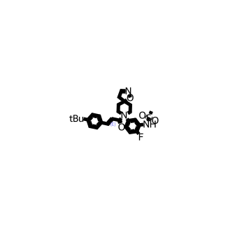 CC(C)(C)c1ccc(/C=C/C(=O)[N+]2(c3ccc(F)c(NS(C)(=O)=O)c3)CCC3(CC=NO3)CC2)cc1